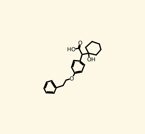 O=C(O)C(c1ccc(OCCc2ccccc2)cc1)C1(O)CCCCC1